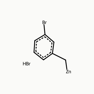 Br.[Zn][CH2]c1cccc(Br)c1